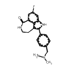 CN(N)Cc1ccc(-c2[nH]c3cc(F)cc4c3c2CCNC4=O)cc1